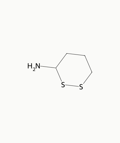 NC1CCCSS1